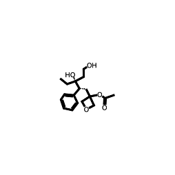 CC[C@@](O)(CCO)[C@H](CC1(OC(C)=O)COC1)c1ccccc1